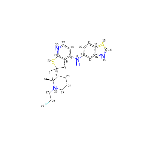 C[C@H]1[C@H](C2(C)Cc3c(Nc4ccc5scnc5c4)ccnc3S2)CCCN1CCF